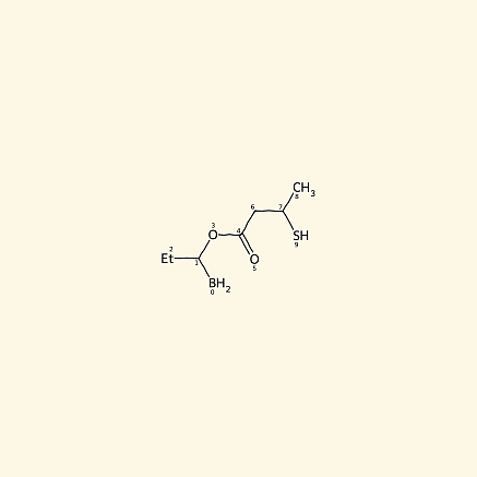 BC(CC)OC(=O)CC(C)S